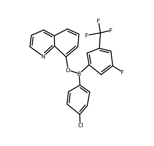 Fc1cc(B(Oc2cccc3cccnc23)c2ccc(Cl)cc2)cc(C(F)(F)F)c1